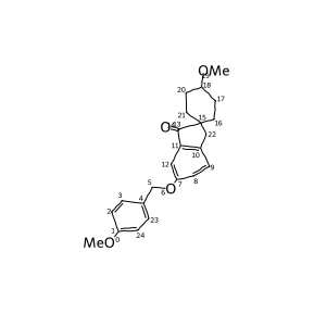 COc1ccc(COc2ccc3c(c2)C(=O)C2(CCC(OC)CC2)C3)cc1